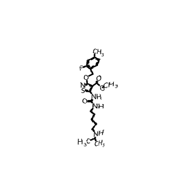 COC(=O)c1c(OCc2ccc(C)cc2F)nsc1NC(=O)NCCCCCNC(C)C